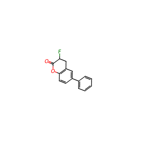 O=C1Oc2ccc(-c3ccccc3)cc2CC1F